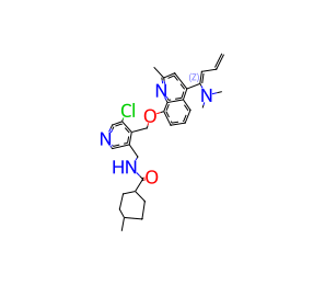 C=C/C=C(/c1cc(C)nc2c(OCc3c(Cl)cncc3CNC(=O)C3CCC(C)CC3)cccc12)N(C)C